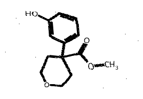 COC(=O)C1(c2cccc(O)c2)CCOCC1